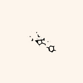 CC(C)(C)OC(=O)N[C@@]1(C(=O)OC(C)(C)C)C(CSC2=CC=C(Cl)C(Cl)C2)[C@@H](O)[C@H]2[C@H](C(=O)OC(C)(C)C)[C@H]21